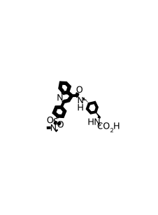 CN(C)S(=O)(=O)c1ccc(-c2cc(C(=O)NC[C@H]3CC[C@H](CNC(=O)O)CC3)c3ccccc3n2)cc1